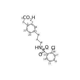 O=C(O)Cc1ccc(CCCNS(=O)(=O)c2ccccc2Cl)cc1